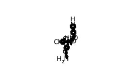 Cn1c(C(=O)NC(=O)C2CCN(C3CCNCC3)CC2)cc(-c2ccc(Cl)cc2Cl)c1-c1ccc(OCCCN)cc1